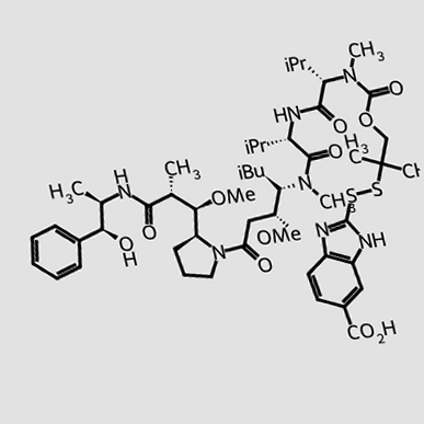 CC[C@H](C)[C@@H]([C@@H](CC(=O)N1CCC[C@H]1[C@H](OC)[C@@H](C)C(=O)N[C@H](C)[C@@H](O)c1ccccc1)OC)N(C)C(=O)[C@@H](NC(=O)[C@H](C(C)C)N(C)C(=O)OCC(C)(C)SSc1nc2ccc(C(=O)O)cc2[nH]1)C(C)C